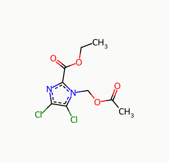 CCOC(=O)c1nc(Cl)c(Cl)n1COC(C)=O